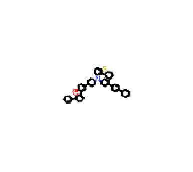 c1ccc(-c2ccc(-c3ccc(N(c4ccc(-c5ccc6oc7c(-c8ccccc8)cccc7c6c5)cc4)c4cccc5sc6ccccc6c45)cc3)cc2)cc1